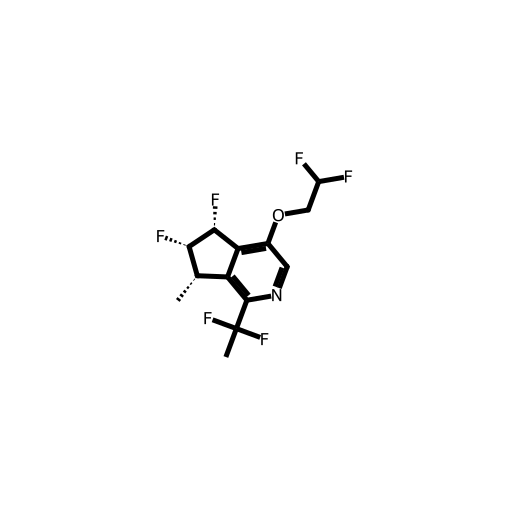 C[C@H]1c2c(C(C)(F)F)ncc(OCC(F)F)c2[C@@H](F)[C@H]1F